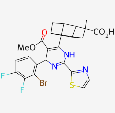 COC(=O)C1=C(C23C4CC2C2C3C4C2(C)C(=O)O)NC(c2nccs2)=NC1c1ccc(F)c(F)c1Br